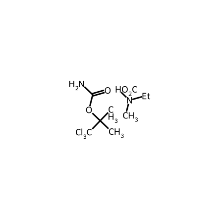 CC(C)(OC(N)=O)C(Cl)(Cl)Cl.CCN(C)C(=O)O